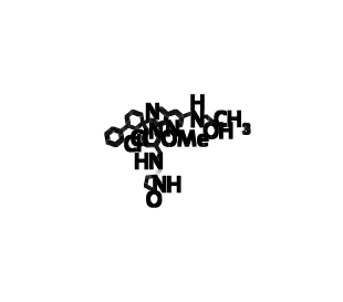 COc1nc(C2(c3cc4ncc(CNCC(C)O)cc4cn3)C=CC=C(c3ccccc3Cl)C2Cl)ccc1CNC[C@H]1CCC(=O)N1